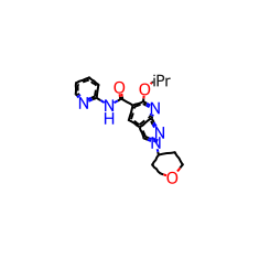 CC(C)Oc1nc2nn(C3CCOCC3)cc2cc1C(=O)Nc1ccccn1